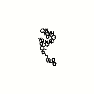 COC(=O)CN1CCC(CCCOc2cccc(-c3ccc(N4CCc5cccc(C(=O)Nc6nc7ccccc7s6)c5C4)nc3C(=O)OC(C)(C)C)c2C)C1